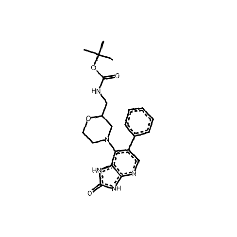 CC(C)(C)OC(=O)NCC1CN(c2c(-c3ccccc3)cnc3[nH]c(=O)[nH]c23)CCO1